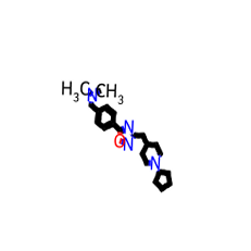 CN(C)Cc1ccc(-c2nc(CC3CCN(C4CCCC4)CC3)no2)cc1